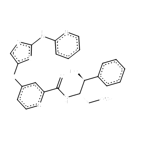 COC[C@H](NC(=O)c1cc(Sc2cnc(Nc3ccccn3)s2)ccn1)[C@@H](O)c1ccccc1